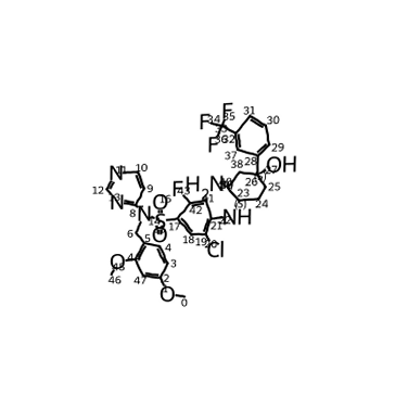 COc1ccc(CN(c2ccncn2)S(=O)(=O)c2cc(Cl)c(N[C@H]3CC[C@@](O)(c4cccc(C(F)(F)F)c4)C[C@H]3N)cc2F)c(OC)c1